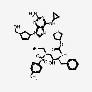 CC(C)CN(C[C@@H](O)[C@H](Cc1ccccc1)NC(=O)O[C@H]1CCOC1)S(=O)(=O)c1ccc(N)cc1.Nc1nc(NC2CC2)c2ncn([C@H]3C=C[C@@H](CO)C3)c2n1